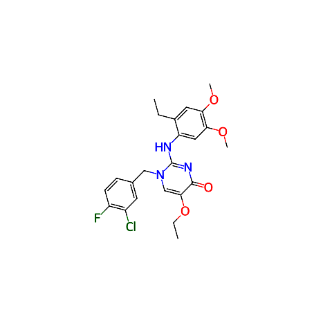 CCOc1cn(Cc2ccc(F)c(Cl)c2)c(Nc2cc(OC)c(OC)cc2CC)nc1=O